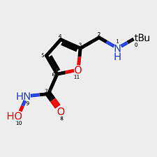 CC(C)(C)NCc1ccc(C(=O)NO)o1